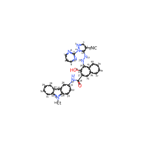 [C-]#[N+]c1cnn(-c2ncccn2)c1/N=N/c1c(O)c(C(=O)Nc2ccc3c(c2)c2ccccc2n3CC)cc2ccccc12